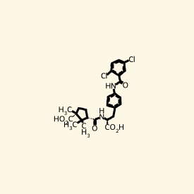 CC1(C)[C@@H](C(=O)N[C@@H](Cc2ccc(NC(=O)c3cc(Cl)ccc3Cl)cc2)C(=O)O)CC[C@@]1(C)C(=O)O